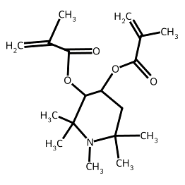 C=C(C)C(=O)OC1CC(C)(C)N(C)C(C)(C)C1OC(=O)C(=C)C